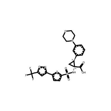 O=C(O)[C@@]1(NS(=O)(=O)c2ccc(-c3cc(C(F)(F)F)on3)s2)C[C@H]1c1cccc(N2CCOCC2)c1